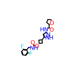 O=C(NCc1c(F)cccc1F)OC1CC(c2cc(NC(=O)C3CCCO3)n[nH]2)C1